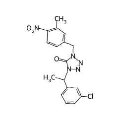 Cc1cc(Cn2nnn(C(C)c3cccc(Cl)c3)c2=O)ccc1[N+](=O)[O-]